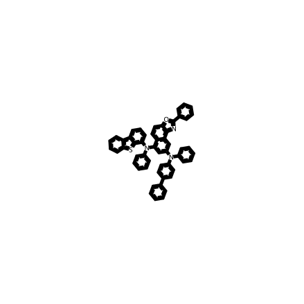 c1ccc(-c2ccc(N(c3ccccc3)c3cc(N(c4ccccc4)c4cccc5c4sc4ccccc45)c4ccc5oc(-c6ccccc6)nc5c4c3)cc2)cc1